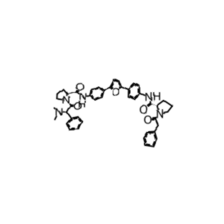 CN(C)[C@@H](C(=O)N1CCC[C@H]1C(=O)Nc1ccc(-c2ccc(-c3ccc(NC(=O)[C@@H]4CCCN4C(=O)Cc4ccccc4)cc3)o2)cc1)c1ccccc1